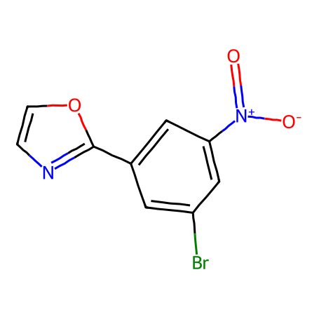 O=[N+]([O-])c1cc(Br)cc(-c2ncco2)c1